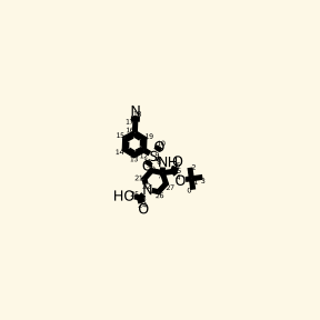 CC(C)(C)OC(=O)C1(NS(=O)(=O)c2cccc(C#N)c2)CCN(C(=O)O)CC1